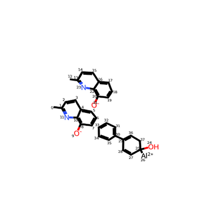 Cc1ccc2cccc([O-])c2n1.Cc1ccc2cccc([O-])c2n1.O[C]1([Al+2])C=CC(c2ccccc2)=CC1